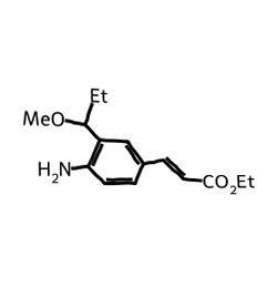 CCOC(=O)/C=C/c1ccc(N)c(C(CC)OC)c1